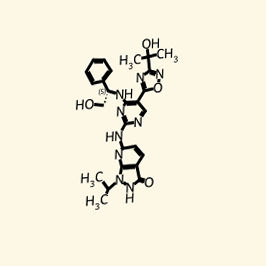 CC(C)n1[nH]c(=O)c2ccc(Nc3ncc(-c4nc(C(C)(C)O)no4)c(N[C@H](CO)c4ccccc4)n3)nc21